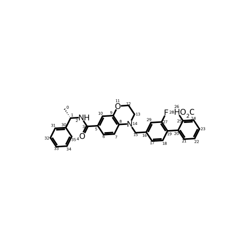 C[C@H](NC(=O)c1ccc2c(c1)OCCN2Cc1ccc(-c2ccccc2C(=O)O)c(F)c1)c1ccccc1